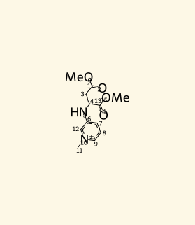 COC(=O)CC(Nc1ccc[n+](C)c1)C(=O)OC